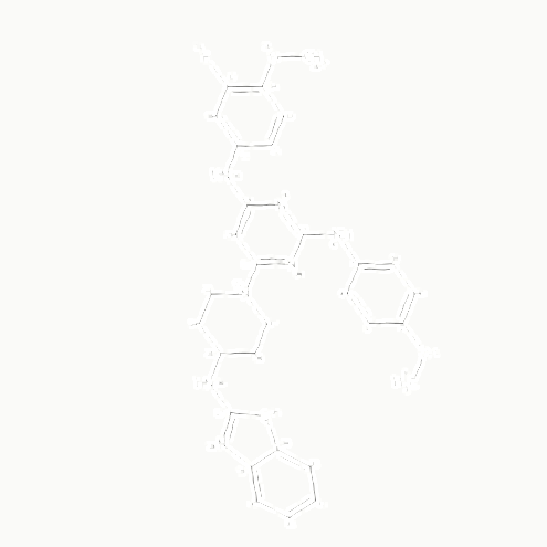 COc1ccc(Nc2nc(Nc3ccc(OC)c(F)c3)cc(N3CCC(Nc4nc5ccccc5s4)CC3)n2)cc1